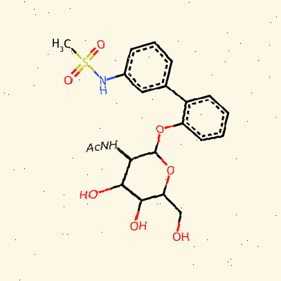 CC(=O)NC1C(Oc2ccccc2-c2cccc(NS(C)(=O)=O)c2)OC(CO)C(O)C1O